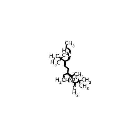 C=C/C(C/C=C(\C=C=CCC)C(C)(C)C)=C(/C)NC(=C)C(C)(C)C